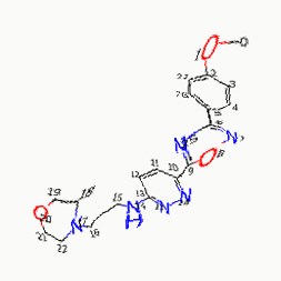 COc1ccc(-c2noc(-c3ccc(NCCN4CCOCC4)nn3)n2)cc1